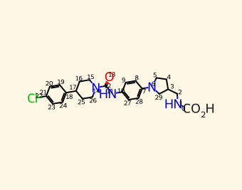 O=C(O)NCC1CCN(c2ccc(NC(=O)N3CCC(c4ccc(Cl)cc4)CC3)cc2)C1